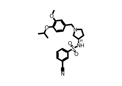 COc1cc(CN2CC[C@@H](NS(=O)(=O)c3cccc(C#N)c3)C2)ccc1OC(C)C